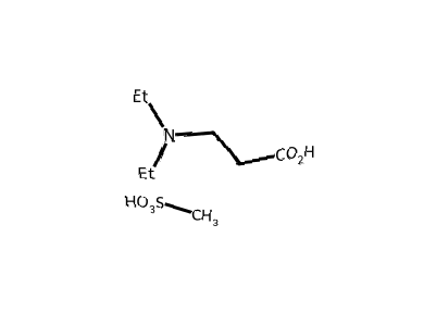 CCN(CC)CCC(=O)O.CS(=O)(=O)O